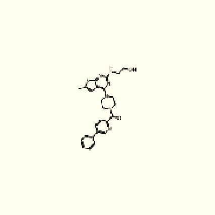 Cc1cc2c(N3CCN(C(=O)c4ccc(-c5ccccc5)cn4)CC3)nc(NCCO)nc2s1